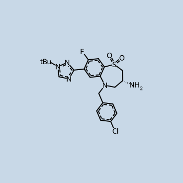 CC(C)(C)n1cnc(-c2cc3c(cc2F)S(=O)(=O)C[C@H](N)CN3Cc2ccc(Cl)cc2)n1